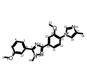 COc1cccc(-c2nc(-c3ccc(-n4cnc(C)c4)c(OC)c3)nn2C)c1